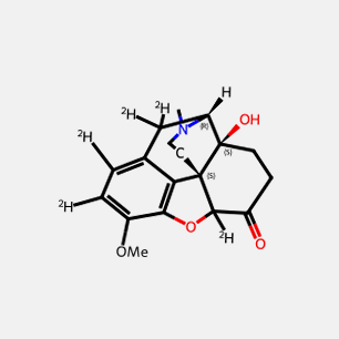 [2H]c1c([2H])c2c3c(c1OC)OC1([2H])C(=O)CC[C@@]4(O)[C@H](N(C)CC[C@]314)C2([2H])[2H]